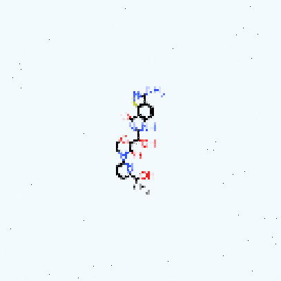 Nc1nsc2c1ccc1[nH]c(C(O)C3OCCN(c4cccc(C(O)C(F)(F)F)n4)C3=O)nc(=O)c12